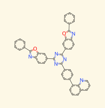 c1ccc(-c2nc3ccc(-c4nc(-c5ccc(-c6cccc7cccnc67)cc5)nc(-c5ccc6nc(-c7ccccc7)oc6c5)n4)cc3o2)cc1